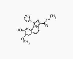 CCOC(=O)c1nc(-c2cccs2)c2c3cc(O)c(OC)cc3ccn12